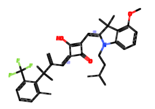 C=C(/C=C1/C(=O)C(/C=C2\N(CCC(C)C)c3cccc(OC)c3C2(C)C)=C1O)C(C)(C)c1c(C)cccc1C(F)(F)F